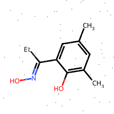 CC/C(=N\O)c1cc(C)cc(C)c1O